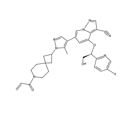 C=CC(=O)N1CCC2(CC1)CC(n1ncc(-c3cc(O[C@H](CO)c4ccc(F)cn4)c4c(C#N)cnn4c3)c1C)C2